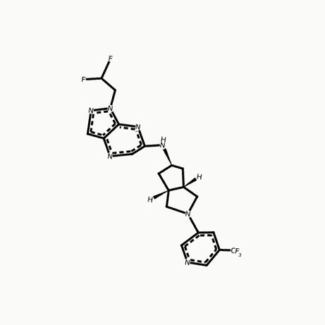 FC(F)Cn1ncc2ncc(N[C@H]3C[C@@H]4CN(c5cncc(C(F)(F)F)c5)C[C@@H]4C3)nc21